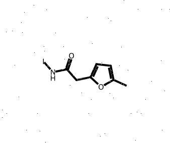 Cc1ccc(CC(=O)NI)o1